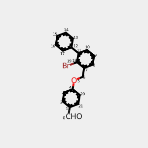 O=Cc1ccc(OCc2cccc(-c3ccccc3)c2Br)cc1